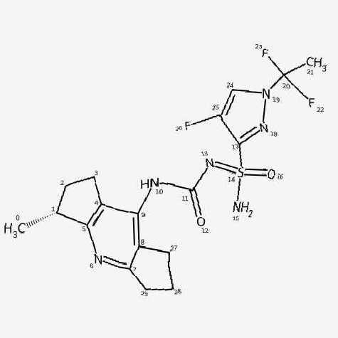 C[C@@H]1CCc2c1nc1c(c2NC(=O)N=S(N)(=O)c2nn(C(C)(F)F)cc2F)CCC1